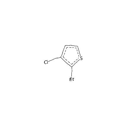 CCc1sccc1Cl